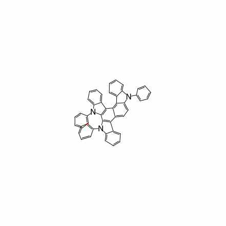 c1ccc(-n2c3ccccc3c3c4c(ccc32)c2c3ccccc3n(-c3ccccc3)c2c2c4c3ccccc3n2-c2ccccc2)cc1